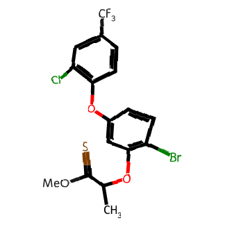 COC(=S)C(C)Oc1cc(Oc2ccc(C(F)(F)F)cc2Cl)ccc1Br